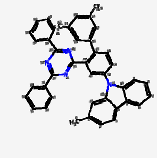 Cc1ccc2c3ccccc3n(-c3ccc(-c4cc(C(F)(F)F)cc(C(F)(F)F)c4)c(-c4nc(-c5ccccc5)nc(-c5ccccc5)n4)c3)c2c1